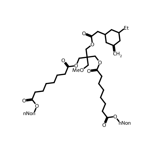 C=C1CC(CC)CC(CC(=O)OCC(COC)(COC(=O)CCCCCCC(=O)OCCCCCCCCC)COC(=O)CCCCCCC(=O)OCCCCCCCCC)C1